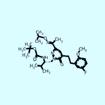 COc1ccc(F)cc1CCc1cc(/C(C)=N/OC(C)C)nn(C[C@@H](NC(=O)OC(C)(C)C)C(C)C)c1=O